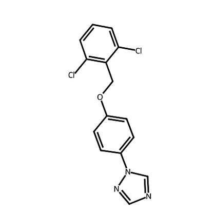 Clc1cccc(Cl)c1COc1ccc(-n2cncn2)cc1